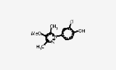 COc1c(C)nn(-c2ccc(O)c(Cl)c2)c1C